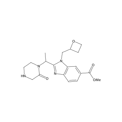 COC(=O)c1ccc2nc(C(C)N3CCNCC3=O)n(CC3CCO3)c2c1